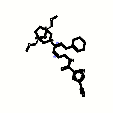 COC[C@@]12CC[C@@](COC)(C[C@@H](C(/C=C\CNC(=O)c3nc(C#N)c[nH]3)=C/CC3=CCCCC3)C1)O2